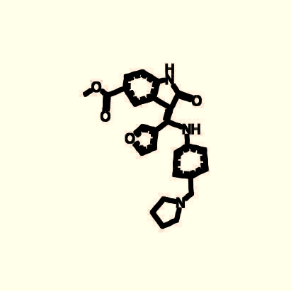 COC(=O)c1ccc2c(c1)/C(=C(/Nc1ccc(CN3CCCC3)cc1)c1ccoc1)C(=O)N2